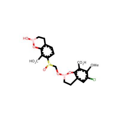 COc1c(Cl)cc2c(c1C(=O)O)OB(OC[S+]([O-])c1ccc3c(c1C(=O)O)OB(O)CC3)CC2